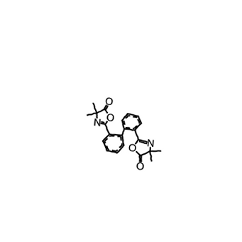 CC1(C)N=C(c2ccccc2-c2ccccc2C2=NC(C)(C)C(=O)O2)OC1=O